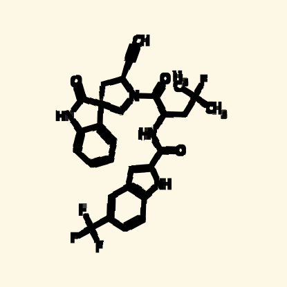 C#C[C@@H]1C[C@@]2(CN1C(=O)C(CC(C)(C)F)NC(=O)c1cc3cc(C(F)(F)F)ccc3[nH]1)C(=O)Nc1ccccc12